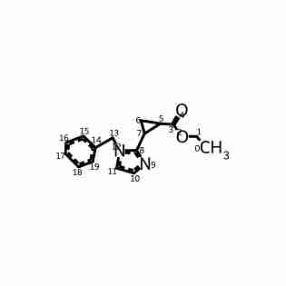 CCOC(=O)C1CC1c1nccn1Cc1ccccc1